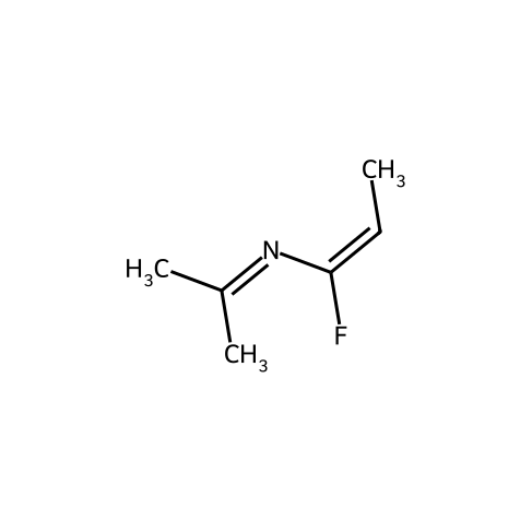 C/C=C(/F)N=C(C)C